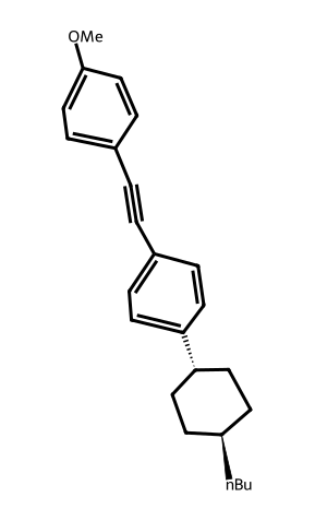 CCCC[C@H]1CC[C@H](c2ccc(C#Cc3ccc(OC)cc3)cc2)CC1